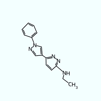 CCNc1ccc(-c2cnn(-c3ccccc3)c2)nn1